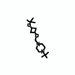 CC(C)(C)OC1CC(OCN2CCN(C(C)(C)C)CC2)C1